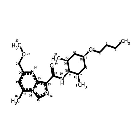 CCCCO[C@H]1C[C@@H](C)[C@@H](NC(=O)c2ncn3c(C)cc(COC)nc23)[C@@H](C)C1